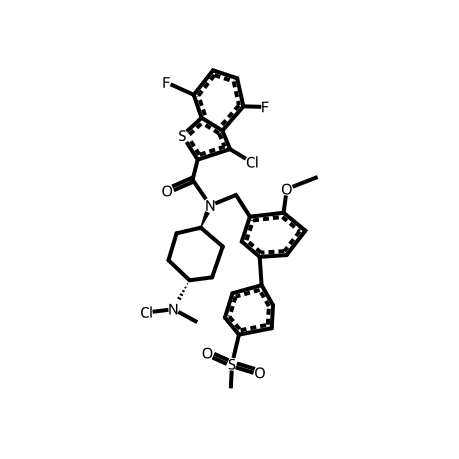 COc1ccc(-c2ccc(S(C)(=O)=O)cc2)cc1CN(C(=O)c1sc2c(F)ccc(F)c2c1Cl)[C@H]1CC[C@H](N(C)Cl)CC1